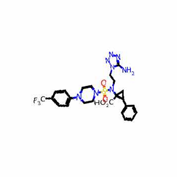 Nc1nnnn1CCN(C1(C(=O)O)CC1c1ccccc1)S(=O)(=O)N1CCN(c2ccc(C(F)(F)F)cc2)CC1